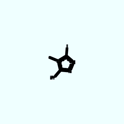 CC(C)c1nnc(I)n1C